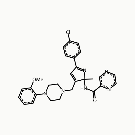 COc1ccccc1N1CCN(CC2=CC(c3ccc(Cl)cc3)=NC2(C)NC(=O)c2cnccn2)CC1